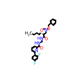 CCCCC[C@H](CN(C=O)OCc1ccccc1)C(=O)NCNC(=O)c1cccc(-c2ccc(F)cc2F)n1